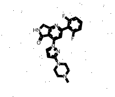 CN1CCN(c2ccn(-c3cc(-c4c(F)cccc4F)nc4c3C(=O)NC4)n2)CC1